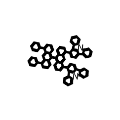 c1ccc(-c2cccc3c(-c4c5cccc(-c6ccc7c8ccccc8n8c9ccccc9c6c78)c5cc5c(-c6ccc7c8ccccc8n8c9ccccc9c6c78)cccc45)c4cccc(-c5ccccc5)c4cc23)cc1